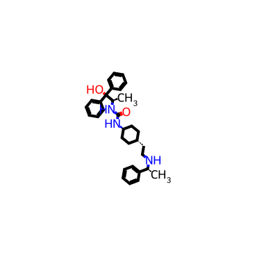 C[C@@H](NCC[C@H]1CC[C@H](NC(=O)N[C@H](C)C(O)(c2ccccc2)c2ccccc2)CC1)c1ccccc1